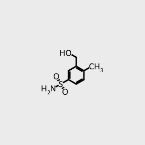 Cc1ccc(S(N)(=O)=O)cc1CO